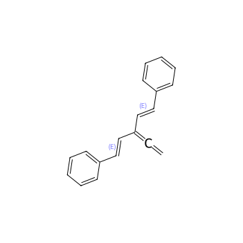 C=C=C(/C=C/c1ccccc1)/C=C/c1ccccc1